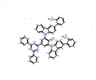 Cc1ccccc1-c1ccc2c(c1)c1ccccc1n2-c1cc(-c2nc(-c3ccccc3)nc(-c3ccccc3)n2)cc(-n2c3ccccc3c3cc(-c4ccccc4C)ccc32)c1C(F)(F)F